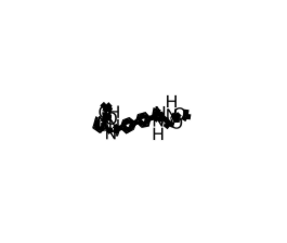 CC(C)[C@H](NC(=O)OC(C)(C)C)c1ncc(-c2ccc(-c3ccc(-c4cnc([C@@H]5CCCN5C(=O)OC(C)(C)C)[nH]4)cc3)cc2)[nH]1